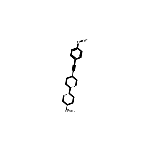 CCCCC[C@H]1CC[C@H]([C@H]2CC[C@H](C#Cc3ccc(OCCC)cc3)CC2)CC1